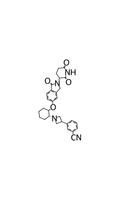 N#Cc1cccc(C2CN([C@@H]3CCCC[C@H]3Oc3ccc4c(c3)CN(C3CCC(=O)NC3=O)C4=O)C2)c1